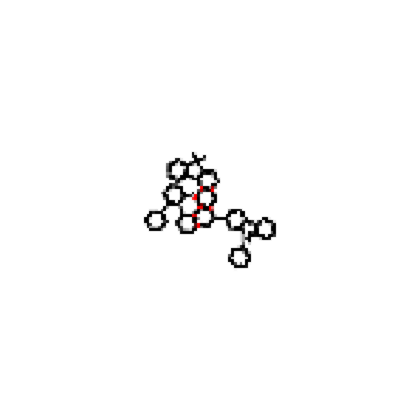 CC1(C)c2ccccc2-c2c(N(c3cccc(-c4ccc5c6ccccc6n(-c6ccccc6)c5c4)c3)c3cccc(-c4ccccc4)c3-c3ccccc3-c3ccccc3)cccc21